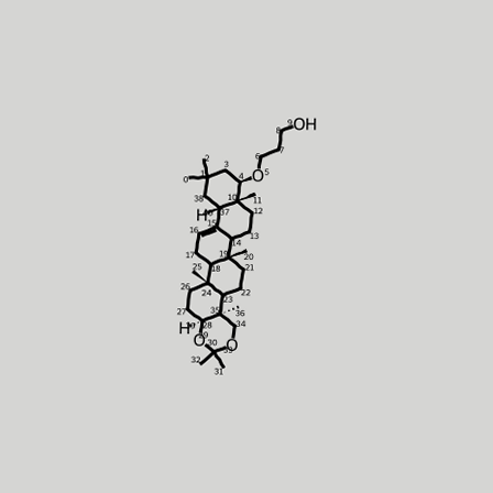 CC1(C)C[C@@H](OCCCO)[C@]2(C)CCC3C(=CCC4[C@@]3(C)CCC3[C@]4(C)CC[C@@H]4OC(C)(C)OC[C@]34C)[C@@H]2C1